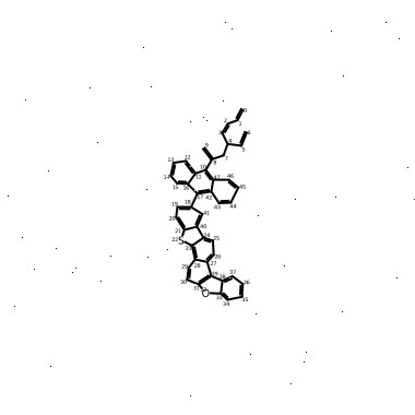 C=C/C=C\C(C=C)CC(=C)c1c2ccccc2c(-c2ccc3sc4c(ccc5c4ccc4oc6ccccc6c45)c3c2)c2ccccc12